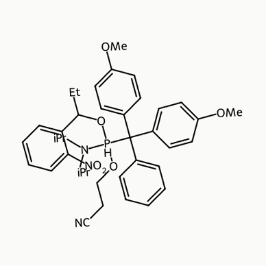 CCC(O[PH](OCCC#N)(N(C(C)C)C(C)C)C(c1ccccc1)(c1ccc(OC)cc1)c1ccc(OC)cc1)c1ccccc1[N+](=O)[O-]